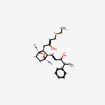 CCSC/C=C(\O)C[C@H]1[C@@H](/C=C/C(O)C(C)c2ccccc2)[C@H]2CC[C@@H]1O2